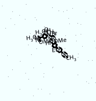 CCc1cc(Nc2ncc(Br)c(Nc3ccc(-c4cn(C)nc4OC)cc3P(C)(C)=O)n2)c(OC)cc1N1CCC(N2CCN(C)CC2)CC1